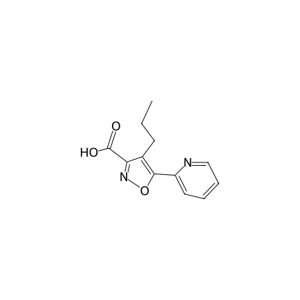 CCCc1c(C(=O)O)noc1-c1ccccn1